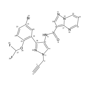 C#CCn1cc(NC(=O)c2cnn3cccnc23)c(-c2cc(Br)ccc2OC(F)F)n1